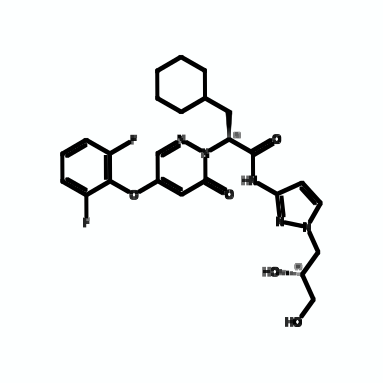 O=C(Nc1ccn(C[C@@H](O)CO)n1)[C@H](CC1CCCCC1)n1ncc(Oc2c(F)cccc2F)cc1=O